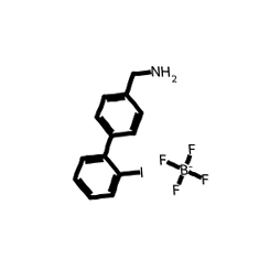 F[B-](F)(F)F.NCc1ccc(-c2ccccc2I)cc1